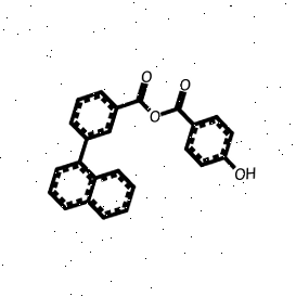 O=C(OC(=O)c1cccc(-c2cccc3ccccc23)c1)c1ccc(O)cc1